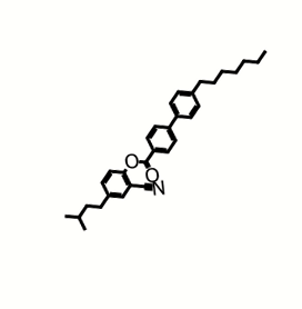 CCCCCCCc1ccc(-c2ccc(C(=O)Oc3ccc(CCC(C)C)cc3C#N)cc2)cc1